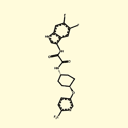 O=C(Nc1c[nH]c2cc(F)c(F)cc12)C(=O)N[C@H]1CC[C@H](Oc2ccc(C(F)(F)F)nc2)CC1